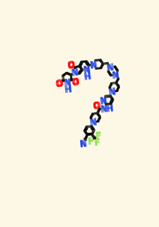 N#Cc1ccc(N2CCC(C(=O)Nc3ccc(N4CCC(CN5CCN(CC6CCN(c7ccc8c(=O)n(C9CCC(=O)NC9=O)cc-8[nH]7)CC6)CC5)CC4)cn3)CC2)cc1C(F)(F)F